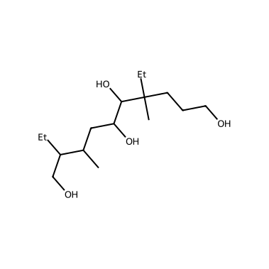 CCC(CO)C(C)CC(O)C(O)C(C)(CC)CCCO